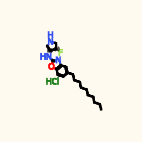 CCCCCCCCCCc1ccc2oc(N[C@@H]3CNC[C@@H]3F)nc2c1.Cl